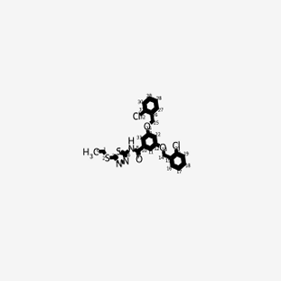 CCSc1nnc(NC(=O)c2cc(OCc3ccccc3Cl)cc(OCc3ccccc3Cl)c2)s1